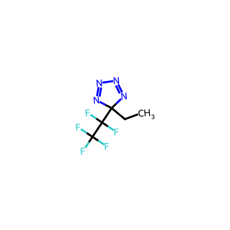 CCC1(C(F)(F)C(F)(F)F)N=NN=N1